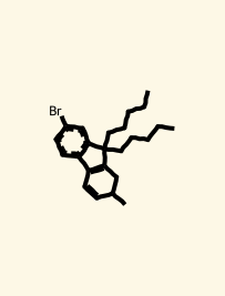 CCCCCC1(CCCCC)C2=C(C=CC(C)C2)c2ccc(Br)cc21